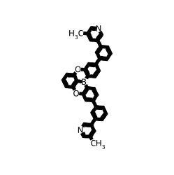 Cc1cncc(-c2cccc(-c3ccc4c(c3)Oc3cccc5c3B4c3ccc(-c4cccc(-c6cncc(C)c6)c4)cc3O5)c2)c1